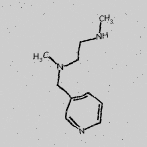 CNCCN(C)Cc1cccnc1